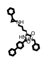 O=C(N[C@@H](CCCCNC1CC1c1ccccc1)C(=O)NCc1ccccc1)c1ccc(-c2ccccc2)cc1